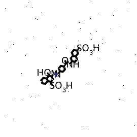 O=C(Nc1ccc2cc(S(=O)(=O)O)ccc2c1)c1ccc(/N=N/c2cc(S(=O)(=O)O)c3ccccc3c2O)cc1